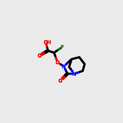 O=C(O)C(F)ON1C(=O)N2CCCC1C2